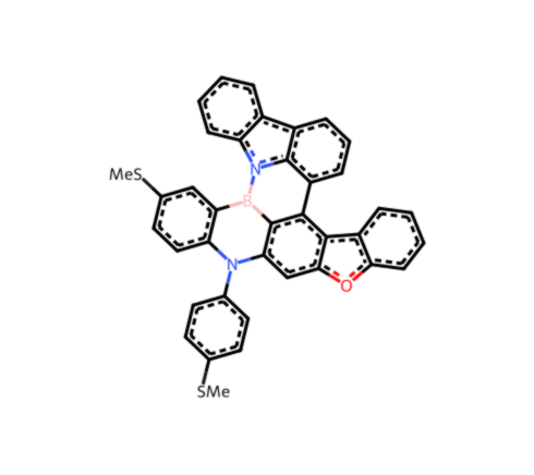 CSc1ccc(N2c3ccc(SC)cc3B3c4c2cc2oc5ccccc5c2c4-c2cccc4c5ccccc5n3c24)cc1